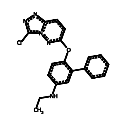 CCNc1ccc(Oc2ccc3nnc(Cl)n3n2)c(-c2ccccc2)c1